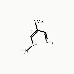 C=C/C(=C\NN)NC